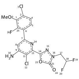 COc1c(Cl)ccc(-c2cc(N)c(Cl)c(-c3nn(CC(F)F)c(=O)o3)n2)c1F